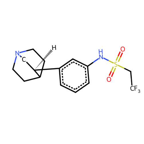 O=S(=O)(CC(F)(F)F)Nc1cccc([C@@H]2CN3CCC2CC3)c1